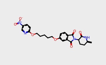 C=C1CCC(N2C(=O)c3ccc(OCCCCCOc4ccc([N+](=O)[O-])cn4)cc3C2=O)C(=O)N1